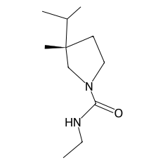 CCNC(=O)N1CC[C@@](C)(C(C)C)C1